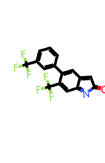 O=C1C=c2cc(-c3cccc(C(F)(F)F)c3)c(C(F)(F)F)cc2=N1